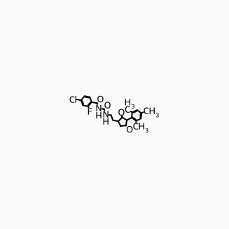 Cc1cc(C)c(C2C(=O)CC(CCNC(=O)NC(=O)c3ccc(Cl)cc3F)C2=O)c(C)c1